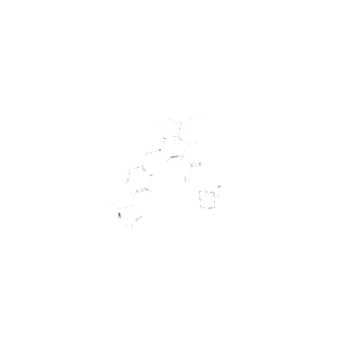 Cc1csc2c(Cc3ccc(-n4cccn4)cc3)cc(C(=O)N[C@H]3CC[C@@H]3O)nc12